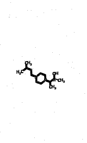 CC(C)CCN1CCN(C(C)[C@@H](C)O)CC1